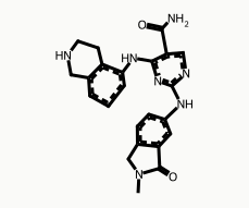 CN1Cc2ccc(Nc3ncc(C(N)=O)c(Nc4cccc5c4CCNC5)n3)cc2C1=O